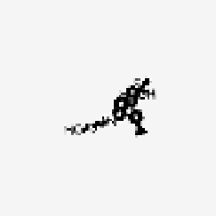 C#CC(F)(F)[C@]1(O)CC[C@H]2[C@@H]3CCC4=CC(=NOCCOCCO)CCC4=C3[C@@H](c3ccc(C4CC4)cc3)C[C@@]21C